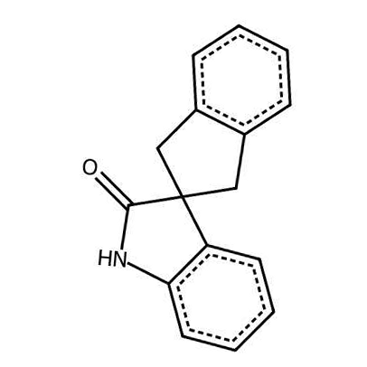 O=C1Nc2ccccc2C12Cc1ccccc1C2